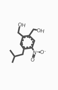 CC(C)Cc1cc(CO)c(CO)cc1[N+](=O)[O-]